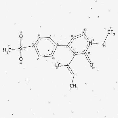 CC=C(C)c1c(-c2ccc(S(C)(=O)=O)cc2)cnn(CC(F)(F)F)c1=O